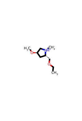 [CH2-][NH+]1C[C@H](OC)C[C@H]1COCC